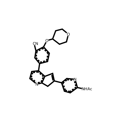 CC(=O)Nc1ccc(C2=Cc3c(-c4ccc(OC5CCOCC5)c(C#N)c4)ccnc3C2)cn1